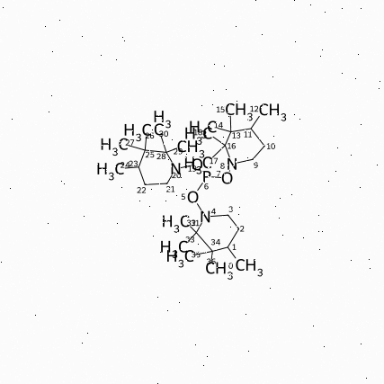 CC1CCN(OP(ON2CCC(C)C(C)(C)C2(C)C)ON2CCC(C)C(C)(C)C2(C)C)C(C)(C)C1(C)C